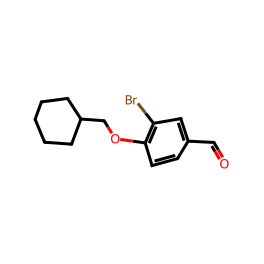 O=Cc1ccc(OCC2CCCCC2)c(Br)c1